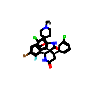 CN1CCC(Oc2ccc(Br)c(F)c2[C@H]2NC(=O)C[C@@H](C3C=CC=C(Cl)C3)[C@]23C(=O)Nc2cc(Cl)ccc23)CC1